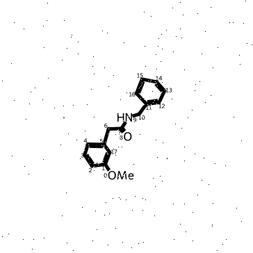 COc1cccc(CC(=O)NCc2ccccc2)c1